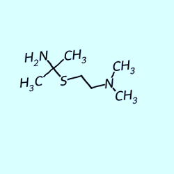 CN(C)CCSC(C)(C)N